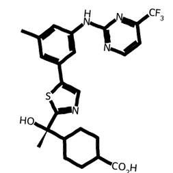 Cc1cc(Nc2nccc(C(F)(F)F)n2)cc(-c2cnc([C@@](C)(O)C3CCC(C(=O)O)CC3)s2)c1